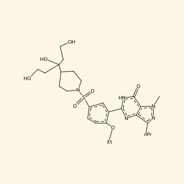 CCCc1nn(C)c2c(=O)[nH]c(-c3cc(S(=O)(=O)N4CCC(C(O)(CCO)CCO)CC4)ccc3OCC)nc12